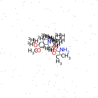 [2H]C([2H])([2H])Oc1cc2c(cc1OC)C1N(C([2H])([2H])C2([2H])[2H])C([2H])([2H])C([2H])(C([2H])([2H])C([2H])(C)C([2H])([2H])[2H])C([2H])(OC(=O)[C@@H](N)C(C)C)C1([2H])[2H]